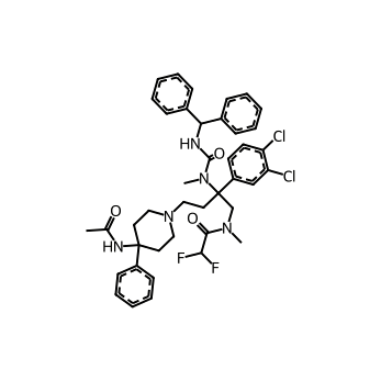 CC(=O)NC1(c2ccccc2)CCN(CCC(CN(C)C(=O)C(F)F)(c2ccc(Cl)c(Cl)c2)N(C)C(=O)NC(c2ccccc2)c2ccccc2)CC1